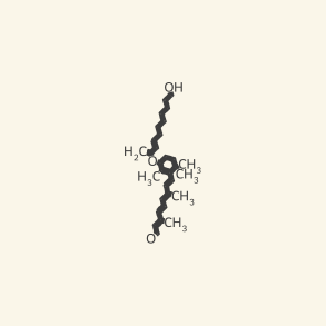 C=C(/C=C/CCCCCCCO)OC1CCC(C)(C)C(/C=C/C(C)=C/C=C/C(C)=C/C=O)=C1C